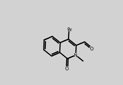 Cn1c(C=O)c(Br)c2ccccc2c1=O